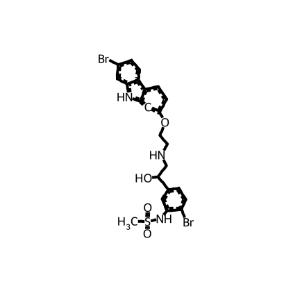 CS(=O)(=O)Nc1cc(C(O)CNCCOc2ccc3c(c2)[nH]c2cc(Br)ccc23)ccc1Br